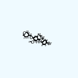 COc1cc2c(Nc3ccc(Br)cc3F)ncnc2cc1OCC1CCCOCC1